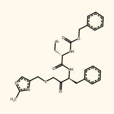 Cc1nc(CSCC(=O)[C@H](Cc2ccccc2)NC(=O)[C@H](CC(C)C)NC(=O)OCc2ccccc2)cs1